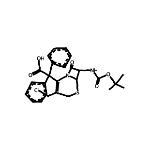 CC(C)(C)OC(=O)NC1C(=O)N2C(C(C(=O)O)(c3ccccc3)c3ccccc3)=C(CCl)CSC12